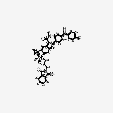 CNC(=O)c1c2cc(C3CC3)c(N(CCCN3C(=O)c4ccccc4C3=O)S(C)(=O)=O)cc2nn1-c1ccc(Nc2ccc(F)cc2)cc1